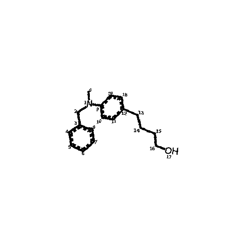 CN(Cc1ccccc1)c1ccc(CCCCO)cc1